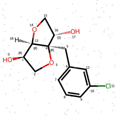 O[C@@H]1CO[C@@]2(Cc3cccc(Cl)c3)[C@@H]1OC[C@@H]2O